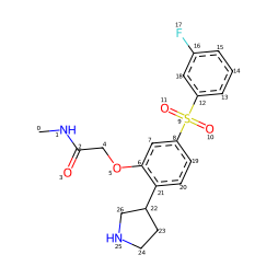 CNC(=O)COc1cc(S(=O)(=O)c2cccc(F)c2)ccc1C1CCNC1